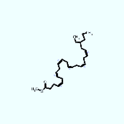 CCCC(CC)C/C=C\C/C=C\C/C=C\C/C=C\C/C=C\C/C=C\CCC(=O)OC